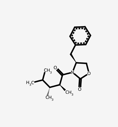 CC(C)[C@@H](C)[C@H](C)C(=O)N1C(=O)OC[C@@H]1Cc1ccccc1